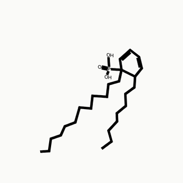 CCCCCCCCCCCCC1(P(=O)(O)O)C=CC=CC1CCCCCCCC